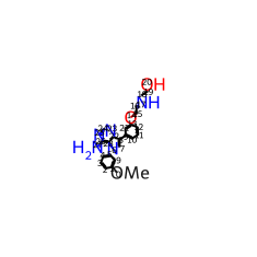 COc1cccc(-n2cc(-c3cccc(OCCNCCO)c3)c3ncnc(N)c32)c1